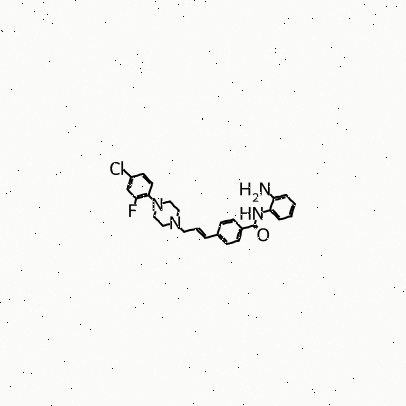 Nc1ccccc1NC(=O)c1ccc(C=CCN2CCN(c3ccc(Cl)cc3F)CC2)cc1